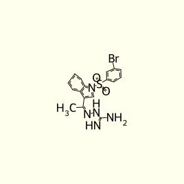 C/C(=N/NC(=N)N)c1cn(S(=O)(=O)c2cccc(Br)c2)c2ccccc12